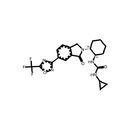 O=C(NC1CC1)N[C@@H]1CCCC[C@H]1N1Cc2ccc(-c3noc(C(F)(F)F)n3)cc2C1=O